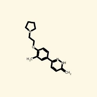 C=C1C=CC(c2ccc(OCCN3CCCC3)c(C)c2)=NN1